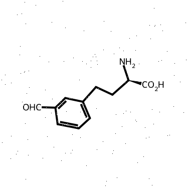 N[C@H](CCc1cccc(C=O)c1)C(=O)O